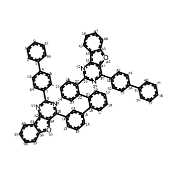 c1ccc(-c2ccc(-c3nc(-c4cccc(-c5ccccc5-c5ccccc5-c5nc(-c6ccc(-c7ccccc7)cc6)c6oc7ccccc7c6n5)c4)c4oc5ccccc5c4n3)cc2)cc1